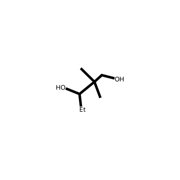 CCC(O)C(C)(C)CO